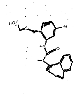 CC(C(=O)Nc1cc(C#N)ccc1CSCC(=O)O)c1cccc2ccccc12